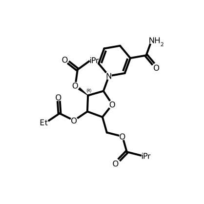 CCC(=O)OC1C(COC(=O)C(C)C)OC(N2C=CCC(C(N)=O)=C2)[C@@H]1OC(=O)C(C)C